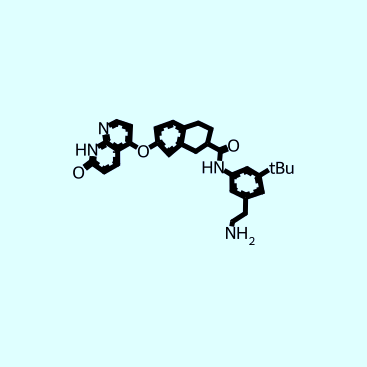 CC(C)(C)c1cc(CCN)cc(NC(=O)C2CCc3ccc(Oc4ccnc5[nH]c(=O)ccc45)cc3C2)c1